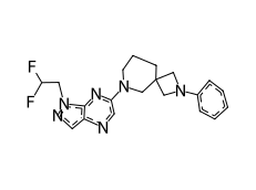 FC(F)Cn1ncc2ncc(N3CCCC4(CN(c5ccccc5)C4)C3)nc21